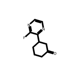 O=C1CCCC(c2nccnc2F)C1